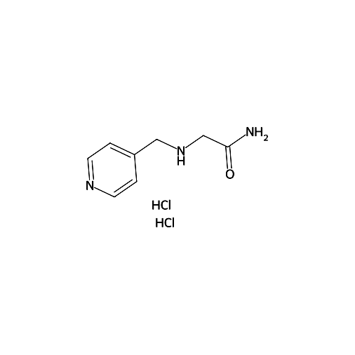 Cl.Cl.NC(=O)CNCc1ccncc1